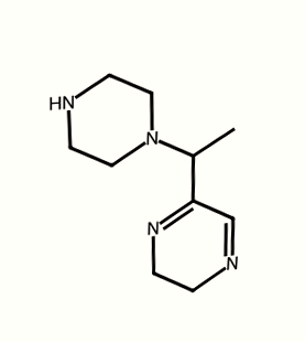 CC(C1=NCCN=C1)N1CCNCC1